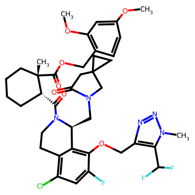 COc1ccc(COC(=O)[C@@]2(C)CCCC[C@H]2C(=O)N2CCc3c(Cl)cc(F)c(OCc4nnn(C)c4C(F)F)c3[C@@H]2CN2CC3(CC3)CC2=O)c(OC)c1